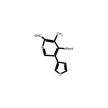 CCCCCc1c(-c2ccsc2)cnc(C=O)c1C